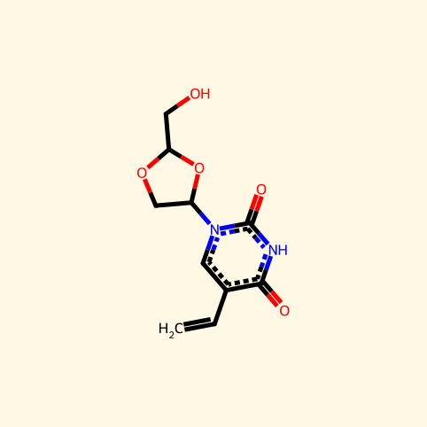 C=Cc1cn(C2COC(CO)O2)c(=O)[nH]c1=O